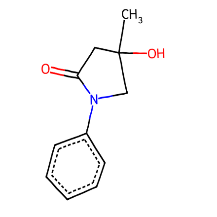 CC1(O)CC(=O)N(c2ccccc2)C1